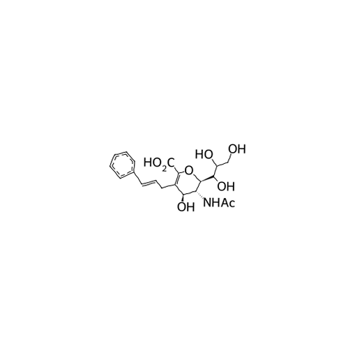 CC(=O)N[C@@H]1[C@@H](O)C(CC=Cc2ccccc2)=C(C(=O)O)O[C@H]1C(O)C(O)CO